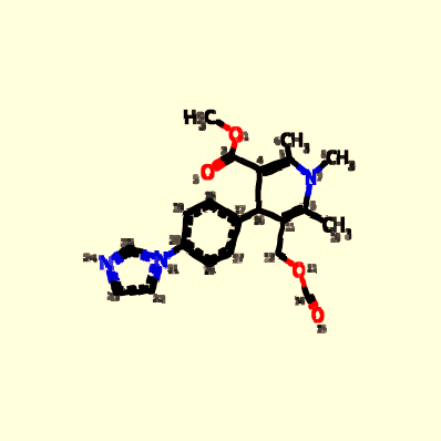 COC(=O)C1=C(C)N(C)C(C)=C(COC=O)C1c1ccc(-n2ccnc2)cc1